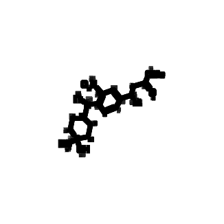 CCC(CC(=O)OC)c1ccc(N(CC)C2CCS(O)(O)CC2)c([N+](=O)[O-])c1